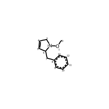 CON1CC=CC1Cc1ccccc1